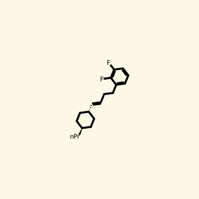 CCC[C@H]1CC[C@H](C=CCCc2cccc(F)c2F)CC1